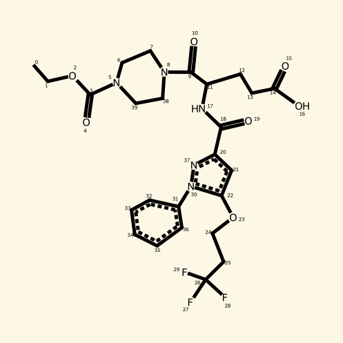 CCOC(=O)N1CCN(C(=O)C(CCC(=O)O)NC(=O)c2cc(OCCC(F)(F)F)n(-c3ccccc3)n2)CC1